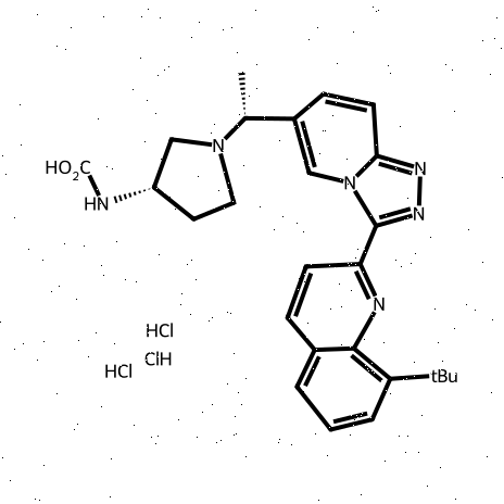 C[C@H](c1ccc2nnc(-c3ccc4cccc(C(C)(C)C)c4n3)n2c1)N1CC[C@H](NC(=O)O)C1.Cl.Cl.Cl